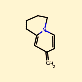 C=C1C=CN2CCCCC2=C1